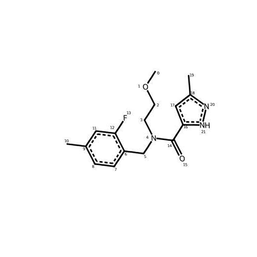 COCCN(Cc1ccc(C)cc1F)C(=O)c1cc(C)n[nH]1